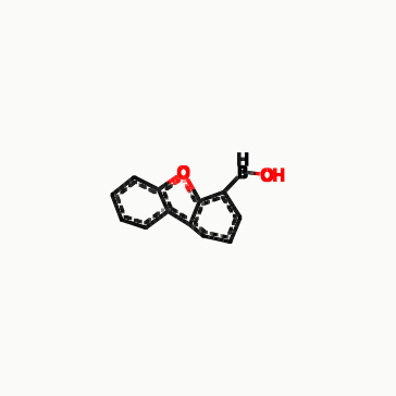 OBc1cccc2c1oc1ccccc12